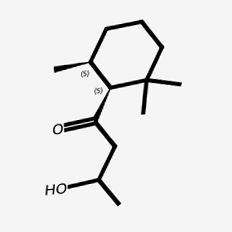 CC(O)CC(=O)[C@H]1[C@@H](C)CCCC1(C)C